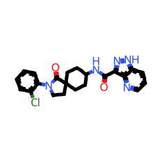 O=C(NC1CCC2(CC1)CCN(c1ccccc1Cl)C2=O)c1n[nH]c2cccnc12